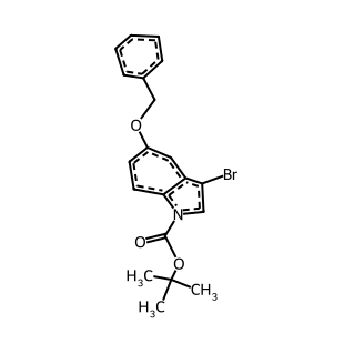 CC(C)(C)OC(=O)n1cc(Br)c2cc(OCc3ccccc3)ccc21